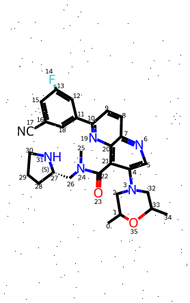 CC1CN(c2cnc3ccc(-c4cc(F)cc(C#N)c4)nc3c2C(=O)N(C)C[C@@H]2CCCN2)CC(C)O1